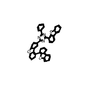 c1ccc(-c2nc(-c3ccc4oc5cccc(-c6cccc7c6oc6ccccc67)c5c4c3)nc(-c3cccc4c3sc3ccccc34)n2)cc1